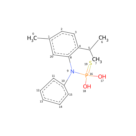 Cc1ccc(C(C)C)c(N(c2ccccc2)P(O)(O)=S)c1